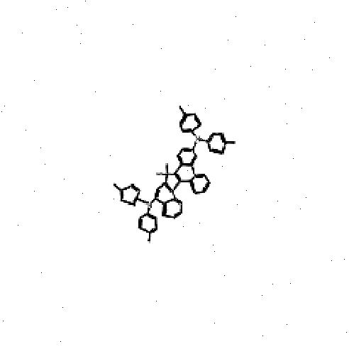 Cc1ccc(N(c2ccc(C)cc2)c2ccc3c4c(c5ccccc5c3c2)-c2c(cc(N(c3ccc(C)cc3)c3ccc(C)cc3)c3ccccc23)C4(C)C)cc1